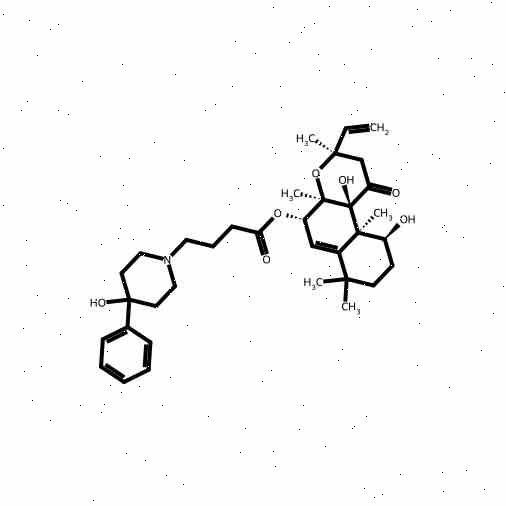 C=C[C@@]1(C)CC(=O)[C@@]2(O)[C@](C)(O1)[C@@H](OC(=O)CCCN1CCC(O)(c3ccccc3)CC1)C=C1C(C)(C)CC[C@H](O)[C@@]12C